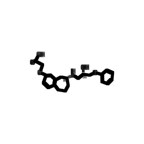 O=C(O)COc1ccc2c(c1)C[C@H](NC[C@H](O)COc1ccccc1)CCC2